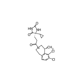 C[C@@H]1CN(C(=O)CC[C@@]2(C3CC3)NC(=O)NC2=O)CCc2ccc(Cl)c(Cl)c21